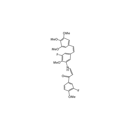 COc1ccc(C(=O)/C=C\Nc2cc(/C=C\c3cc(OC)c(OC)c(OC)c3)cc(F)c2OC)cc1F